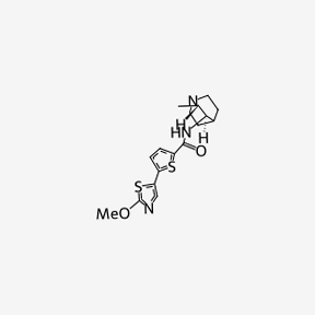 COc1ncc(-c2ccc(C(=O)N[C@@H]3C4CCN(CC4)[C@H]3C)s2)s1